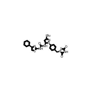 CC(C)(C)c1cc(NC(=O)Nc2nc(-c3ccccc3)cs2)n(-c2ccc(Cn3sc(=O)[nH]c3=O)cc2)n1